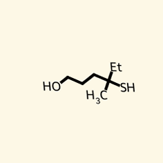 CCC(C)(S)CCCO